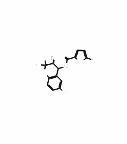 CC(=O)c1ccc2c(c1)C(NC(=O)c1ccc(Br)o1)C(O)C(C)(C)O2